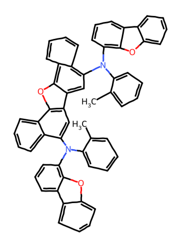 Cc1ccccc1N(c1cc2c3cc(N(c4ccccc4C)c4cccc5c4oc4ccccc45)c4ccccc4c3oc2c2ccccc12)c1cccc2c1oc1ccccc12